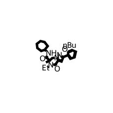 CCCCOc1ccccc1-c1cc2n(n1)CC(C)(C(=O)NC1CCCCCC1)N(CC)C2=O